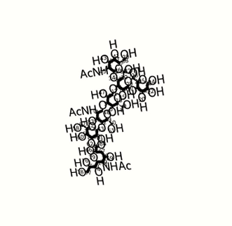 CC(=O)N[C@H]1[C@H](O[C@H]2[C@@H](O)[C@@H](CO)O[C@H](O[C@@H]3[C@@H](O)[C@H](O[C@H]4[C@H](O)[C@@H](O)[C@H](O)O[C@@H]4CO)O[C@H](CO)[C@@H]3O[C@@H]3O[C@H](CO)[C@H](O)[C@H](O)[C@H]3NC(C)=O)[C@@H]2O)O[C@H](CO)[C@@H](O[C@@H]2O[C@H](CO)[C@H](O)[C@H](OC(=O)[C@@]3(O)C[C@H](O)[C@@H](NC(C)=O)[C@H]([C@H](O)[C@H](O)CO)O3)[C@H]2O)[C@@H]1O